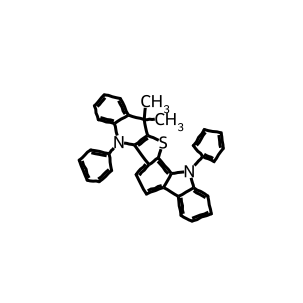 CC1(C)c2ccccc2N(c2ccccc2)c2c1sc1c2ccc2c3ccccc3n(-c3ccccc3)c21